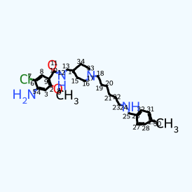 COc1cc(N)c(Cl)cc1C(=O)NCC1CCN(CCCCCCNCc2ccc(C)cc2)CC1